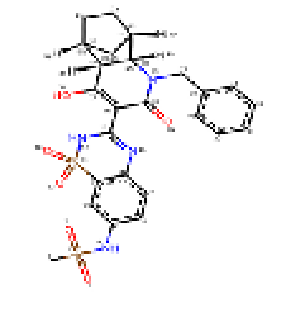 CS(=O)(=O)Nc1ccc2c(c1)S(=O)(=O)NC(C1=C(O)[C@@H]3[C@@H]4CC[C@@H](C4)[C@@H]3N(Cc3ccccc3)C1=O)=N2